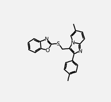 Cc1ccc(-c2nc3ccc(C)cn3c2CSc2nc3ccccc3o2)cc1